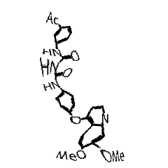 COc1cc2nccc(Oc3ccc(NC(=O)NC(=O)Nc4cccc(C(C)=O)c4)cc3)c2cc1OC